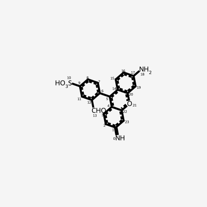 N=c1ccc2c(-c3ccc(S(=O)(=O)O)cc3C=O)c3ccc(N)cc3oc-2c1